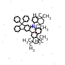 CC1(C)CCC(C)(C)c2cc(-c3cc4c(cc3N(c3ccccc3)c3cccc5c3C(C)(C)CCC5(C)C)C(c3ccccc3)(c3ccccc3)c3ccccc3-4)ccc21